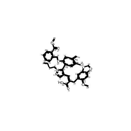 CCCCn1ncc(/C=C(/Cc2cc3c(cc2OC)OCO3)C(=O)O)c1-c1cc(Cl)c(C)cc1OCc1ccccc1C(=O)OC